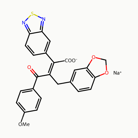 COc1ccc(C(=O)C(Cc2ccc3c(c2)OCO3)=C(C(=O)[O-])c2ccc3nsnc3c2)cc1.[Na+]